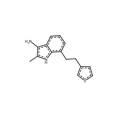 Cc1[nH]c2c(CCc3ccsc3)cccc2c1N